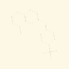 CC(C)(C)C1CCC(Oc2ccc3cccc(C=O)c3c2)CC1